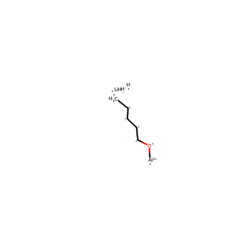 CCCCC[O][Al+2].[H-].[H-].[LiH]